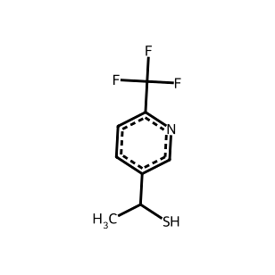 CC(S)c1ccc(C(F)(F)F)nc1